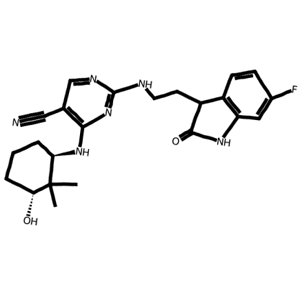 CC1(C)[C@H](O)CCC[C@H]1Nc1nc(NCCC2C(=O)Nc3cc(F)ccc32)ncc1C#N